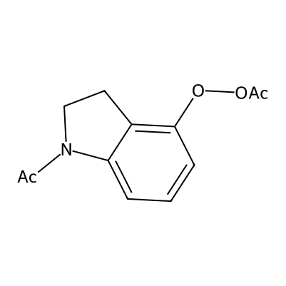 CC(=O)OOc1cccc2c1CCN2C(C)=O